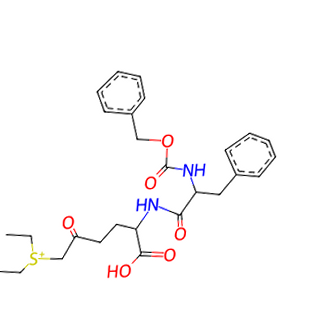 CC[S+](CC)CC(=O)CCC(NC(=O)C(Cc1ccccc1)NC(=O)OCc1ccccc1)C(=O)O